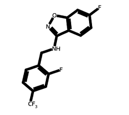 Fc1ccc2c(NCc3ccc(C(F)(F)F)cc3F)noc2c1